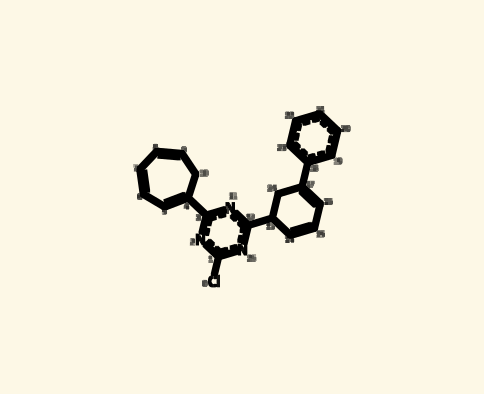 Clc1nc(C2=CC=CC=CC2)nc(C2C=CC=C(c3ccccc3)C2)n1